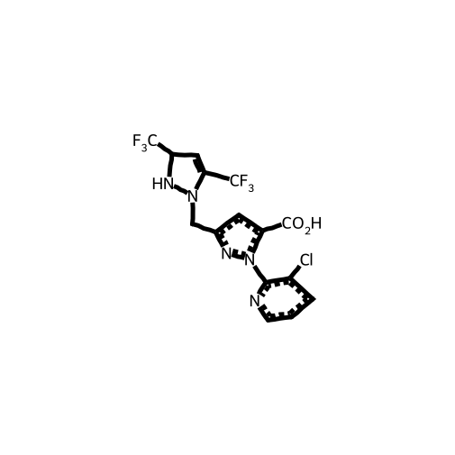 O=C(O)c1cc(CN2NC(C(F)(F)F)C=C2C(F)(F)F)nn1-c1ncccc1Cl